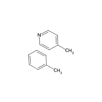 Cc1ccccc1.Cc1ccncc1